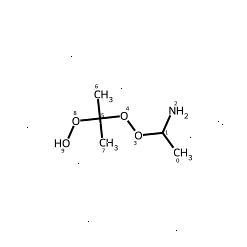 CC(N)OOC(C)(C)OO